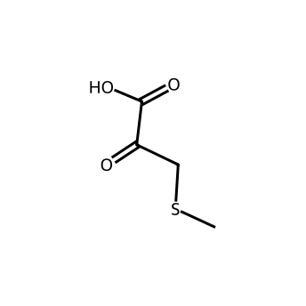 CSCC(=O)C(=O)O